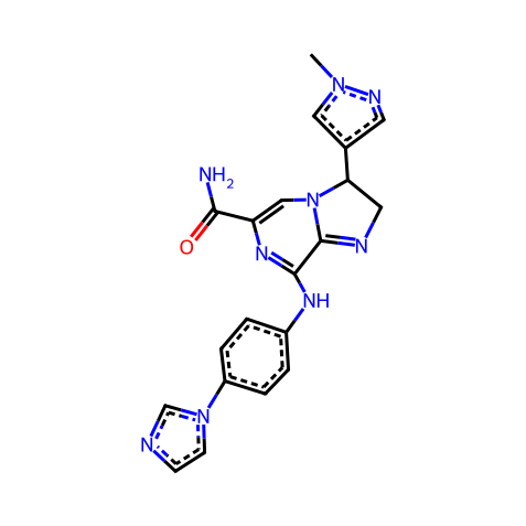 Cn1cc(C2CN=C3C(Nc4ccc(-n5ccnc5)cc4)=NC(C(N)=O)=CN32)cn1